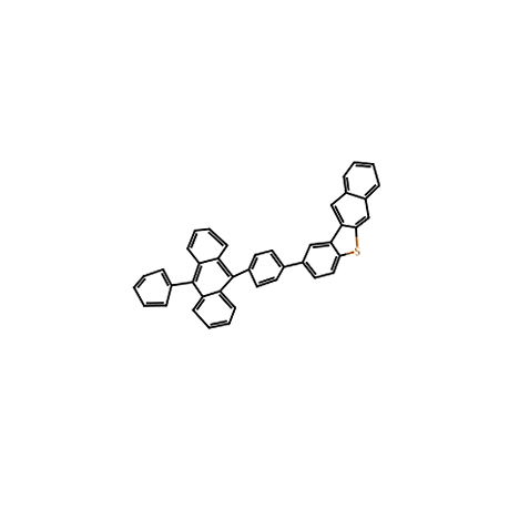 c1ccc(-c2c3ccccc3c(-c3ccc(-c4ccc5sc6cc7ccccc7cc6c5c4)cc3)c3ccccc23)cc1